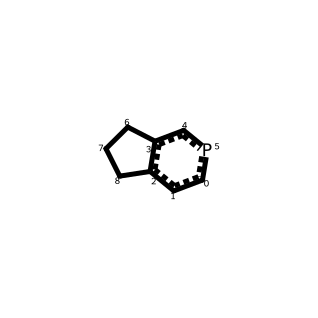 c1cc2c(cp1)CCC2